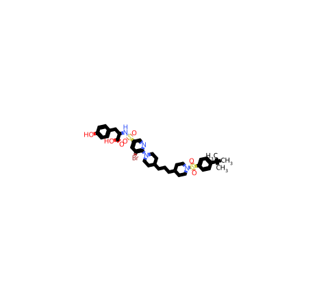 CC(C)(C)c1ccc(S(=O)(=O)N2CCC(CCCC3CCN(c4ncc(S(=O)(=O)NC(Cc5ccc(O)cc5)C(=O)O)cc4Br)CC3)CC2)cc1